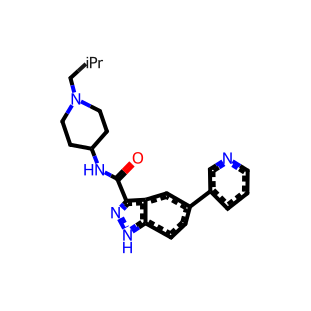 CC(C)CN1CCC(NC(=O)c2n[nH]c3ccc(-c4cccnc4)cc23)CC1